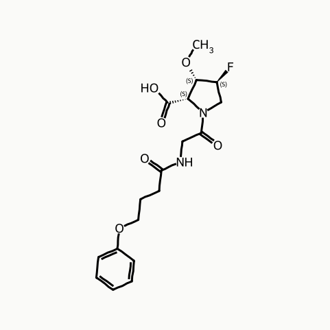 CO[C@H]1[C@@H](C(=O)O)N(C(=O)CNC(=O)CCCOc2ccccc2)C[C@@H]1F